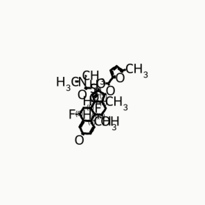 Cc1ccc(C2O[C@@H]3C[C@H]4[C@@H]5C[C@H](F)C6=CC(=O)C=C[C@]6(C)[C@@]5(F)[C@@H](O)C[C@]4(C)[C@]3(C(=O)SC(=O)N(C)C)O2)o1